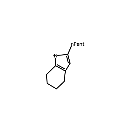 CCCCCC1=CC2=C(CCCC2)[N]1